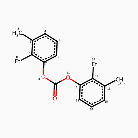 CCc1c(C)cccc1OC(=O)Oc1cccc(C)c1CC